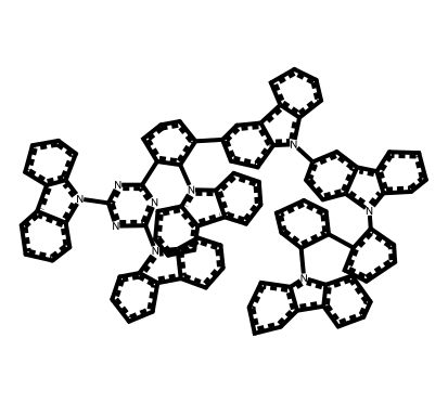 c1ccc(-n2c3ccccc3c3ccccc32)c(-c2ccccc2-n2c3ccccc3c3cc(-n4c5ccccc5c5cc(-c6cccc(-c7nc(-n8c9ccccc9c9ccccc98)nc(-n8c9ccccc9c9ccccc98)n7)c6-n6c7ccccc7c7ccccc76)ccc54)ccc32)c1